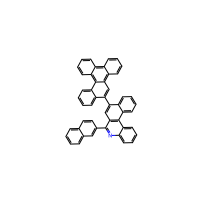 c1ccc2cc(-c3nc4ccccc4c4c3cc(-c3cc5c6ccccc6c6ccccc6c5c5ccccc35)c3ccccc34)ccc2c1